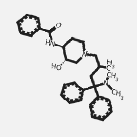 CC(CN1CC[C@H](NC(=O)c2ccccc2)[C@@H](O)C1)CC(c1ccccc1)(c1ccccc1)N(C)C